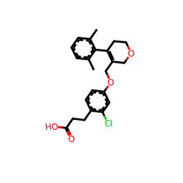 Cc1cccc(C)c1C1=C(COc2ccc(CCC(=O)O)c(Cl)c2)COCC1